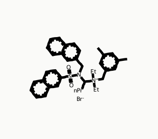 CCCC(N(Cc1ccc2ccccc2c1)S(=O)(=O)c1ccc2ccccc2c1)[N+](CC)(CC)Cc1cc(C)cc(C)c1.[Br-]